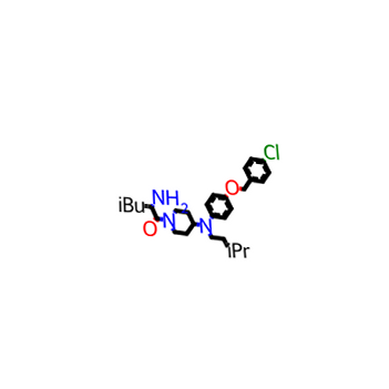 CCC(C)C(N)C(=O)N1CCC(N(CCC(C)C)c2ccc(OCc3ccc(Cl)cc3)cc2)CC1